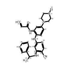 C=CC(=O)Nc1cc(N2CCN(CC)CC2)ccc1Nc1cc(NC(C)c2cccnc2)c(C#N)cn1